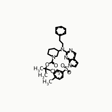 Cc1ccc(S(=O)(=O)n2ccc3cnc(N(CCc4ccccc4)C4CCCN(C(=O)OC(C)(C)C)C4)nc32)cc1